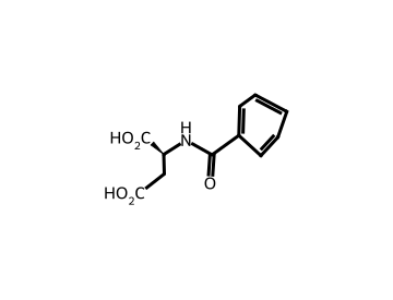 O=C(O)C[C@H](NC(=O)c1ccccc1)C(=O)O